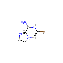 NC1=NC(Br)=CN2CCN=C12